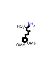 COc1ccc(CCC(C)CC(CN)C(=O)O)cc1OC